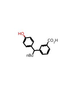 CCCCC(c1ccc(O)cc1)c1cccc(C(=O)O)c1